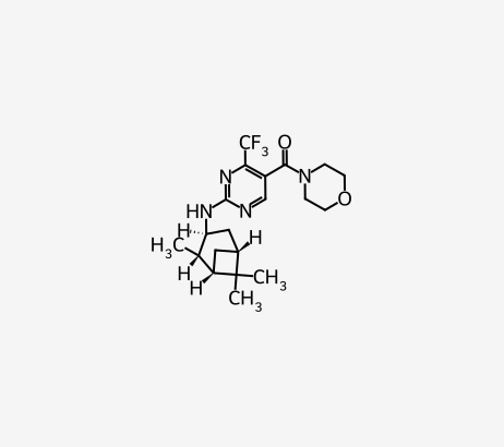 C[C@@H]1[C@@H](Nc2ncc(C(=O)N3CCOCC3)c(C(F)(F)F)n2)C[C@H]2C[C@@H]1C2(C)C